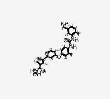 NCc1ccc(F)c(NC(=O)Nc2ccc(Oc3ccnc(-c4cc(C(=O)NO)c[nH]4)c3)cc2F)c1